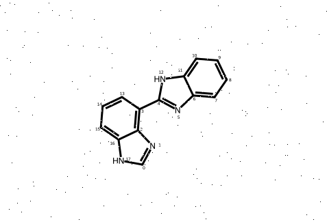 [c]1nc2c(-c3nc4ccccc4[nH]3)cccc2[nH]1